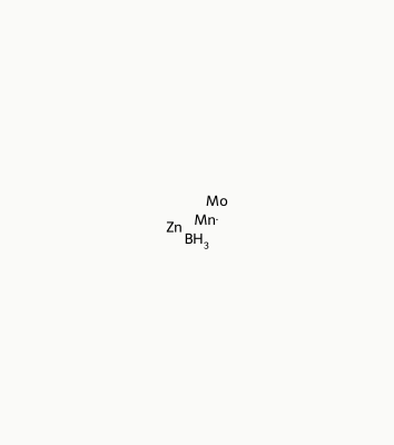 B.[Mn].[Mo].[Zn]